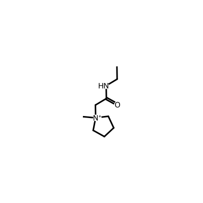 CCNC(=O)C[N+]1(C)CCCC1